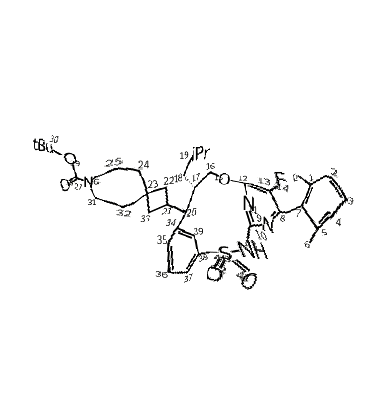 Cc1cccc(C)c1-c1nc2nc(c1F)OC[C@@H](CC(C)C)C(C1CC3(CCN(C(=O)OC(C)(C)C)CC3)C1)c1cccc(c1)S(=O)(=O)N2